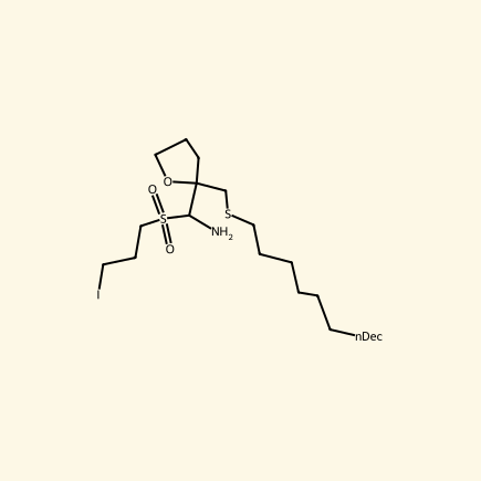 CCCCCCCCCCCCCCCCSCC1(C(N)S(=O)(=O)CCCI)CCCO1